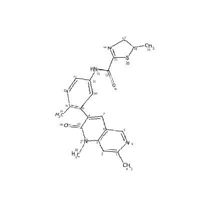 Cc1cc2c(cn1)cc(-c1cc(NC(=O)C3=NCC(C)S3)ccc1C)c(=O)n2C